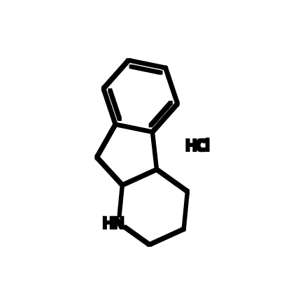 Cl.c1ccc2c(c1)CC1NCCCC21